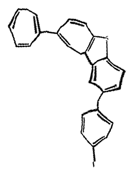 Ic1ccc(-c2ccc3sc4ccc(-c5ccccc5)cc4c3c2)cc1